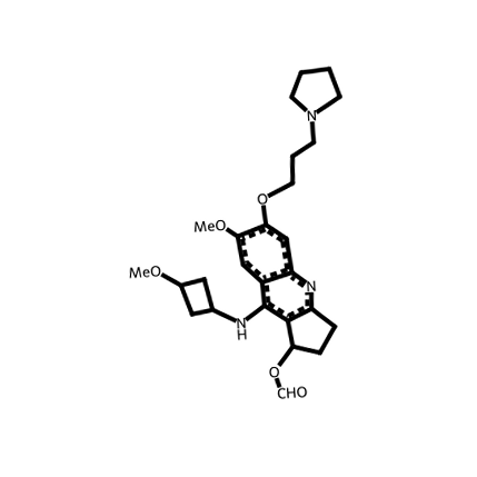 COc1cc2c(NC3CC(OC)C3)c3c(nc2cc1OCCCN1CCCC1)CCC3OC=O